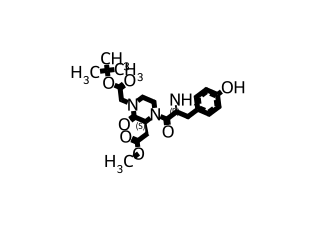 COC(=O)C[C@H]1C(=O)N(CC(=O)OC(C)(C)C)CCN1C(=O)[C@H](N)Cc1ccc(O)cc1